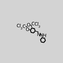 ClC(Cl)(Cl)C1Oc2ccc(C=NNc3ccccc3)cc2C(C(Cl)(Cl)Cl)O1